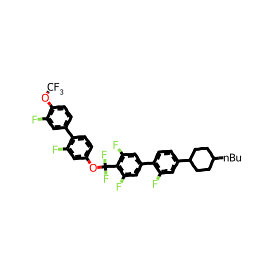 CCCCC1CCC(c2ccc(-c3cc(F)c(C(F)(F)Oc4ccc(-c5ccc(OC(F)(F)F)c(F)c5)c(F)c4)c(F)c3)c(F)c2)CC1